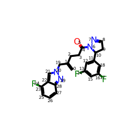 C=C(CCC(=O)N1N=CCC1c1cc(F)cc(F)c1)Cn1cc2c(F)cccc2n1